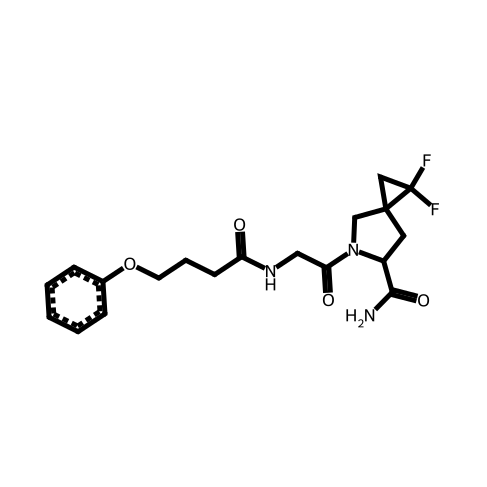 NC(=O)C1CC2(CN1C(=O)CNC(=O)CCCOc1ccccc1)CC2(F)F